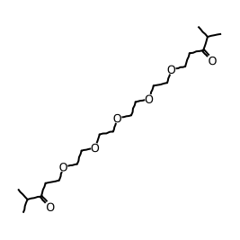 CC(C)C(=O)CCOCCOCCOCCOCCOCCC(=O)C(C)C